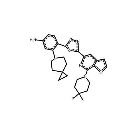 Nc1ccc(-c2nnc(-c3cc4ccoc4c(N4CCC(F)(F)CC4)n3)o2)c(N2CCC3(CC2)CC3)c1